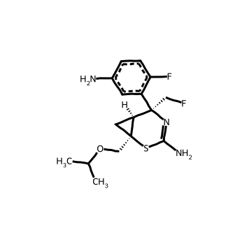 CC(C)OC[C@]12C[C@H]1[C@@](CF)(c1cc(N)ccc1F)N=C(N)S2